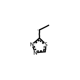 C[CH]c1nncs1